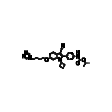 CC(C)OC(=O)Nc1ccc(-c2c(C#N)c3ccc(OCCCCn4cnnc4)cc3n2C2CCC2)cc1